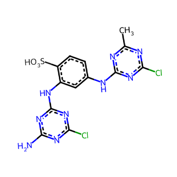 Cc1nc(Cl)nc(Nc2ccc(S(=O)(=O)O)c(Nc3nc(N)nc(Cl)n3)c2)n1